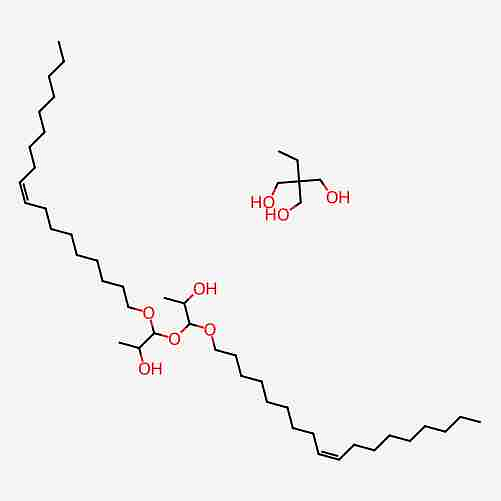 CCC(CO)(CO)CO.CCCCCCCC/C=C\CCCCCCCCOC(OC(OCCCCCCCC/C=C\CCCCCCCC)C(C)O)C(C)O